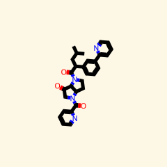 CC(C)CC(C(=O)N1CCC2C1C(=O)CN2C(=O)c1ccccn1)c1cccc(-c2ccccn2)c1